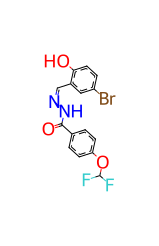 O=C(N/N=C\c1cc(Br)ccc1O)c1ccc(OC(F)F)cc1